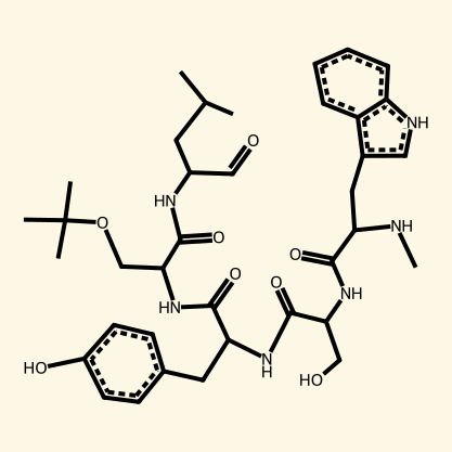 CNC(Cc1c[nH]c2ccccc12)C(=O)NC(CO)C(=O)NC(Cc1ccc(O)cc1)C(=O)NC(COC(C)(C)C)C(=O)NC(C=O)CC(C)C